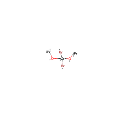 CC(C)[O][Zr]([Br])([Br])[O]C(C)C